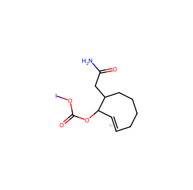 NC(=O)CC1CCCC/C=C/C1OC(=O)OI